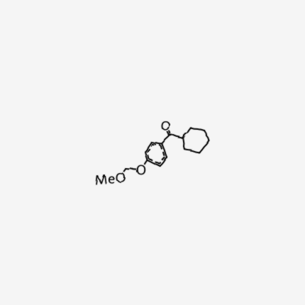 COCOc1ccc(C(=O)C2CCCCC2)cc1